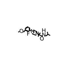 COCc1cccc(N2CCN(C(C)(C)C(=O)NCC(C)C)CC2)c1F